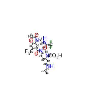 CC(C)N(C(=O)c1cc2c(cc1C(F)(F)F)OC(C)(C)C(=O)N2CCNC(=O)C(F)F)[C@@H]1CC[C@H](CCNC2CC2)N(C(=O)O)C1